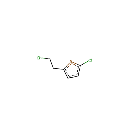 ClCCc1ccc(Cl)s1